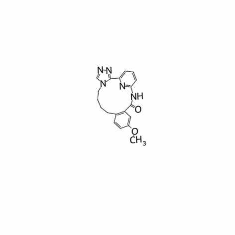 COc1ccc2c(c1)C(=O)Nc1cccc(n1)-c1nncn1CCCC2